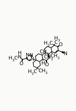 CNC(=O)c1cn([C@]23CCC(C)(C)CC2[C@H]2C(=O)C=C4[C@@]5(C)C=C(C#N)C(=O)C(C)(C)C5CC[C@@]4(C)[C@]2(C)CC3)nn1